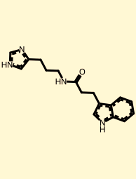 O=C(CCc1c[nH]c2ccccc12)NCCCc1c[nH]cn1